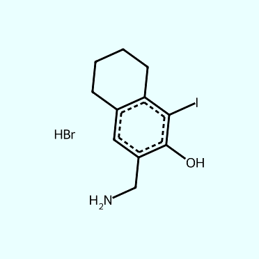 Br.NCc1cc2c(c(I)c1O)CCCC2